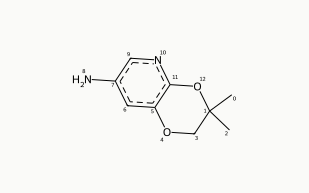 CC1(C)COc2cc(N)cnc2O1